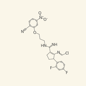 N#Cc1ccc([N+](=O)[O-])cc1OCCCNC(=N)C1=C(/N=C/Cl)C(c2ccc(F)cc2F)CC1